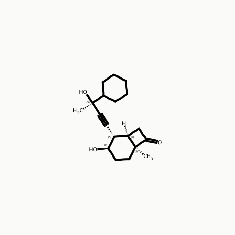 C[C@@](O)(C#C[C@H]1[C@H](O)CC[C@]2(C)C(=O)C[C@H]12)C1CCCCC1